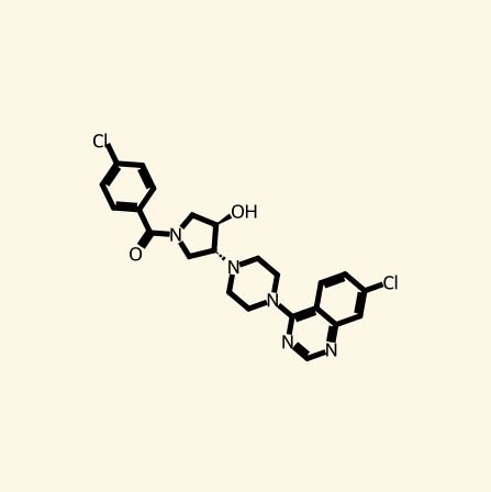 O=C(c1ccc(Cl)cc1)N1C[C@@H](O)[C@H](N2CCN(c3ncnc4cc(Cl)ccc34)CC2)C1